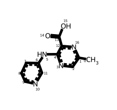 Cc1cnc(Nc2cccnc2)c(C(=O)O)n1